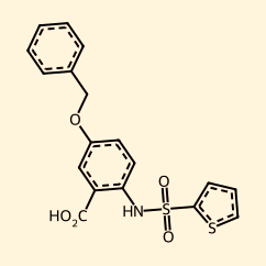 O=C(O)c1cc(OCc2ccccc2)ccc1NS(=O)(=O)c1cccs1